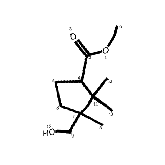 COC(=O)C1CCC(C)(CO)C1(C)C